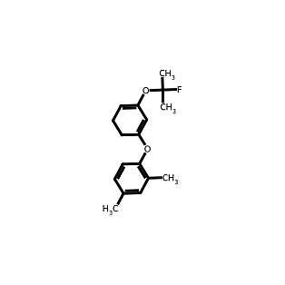 Cc1ccc(OC2=CC(OC(C)(C)F)=CCC2)c(C)c1